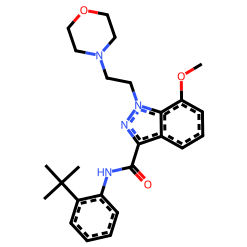 COc1cccc2c(C(=O)Nc3ccccc3C(C)(C)C)nn(CCN3CCOCC3)c12